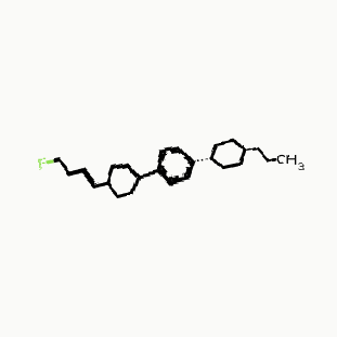 CCC[C@H]1CC[C@H](c2ccc(C3CCC(/C=C/CCF)CC3)cc2)CC1